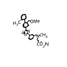 COCc1cc(-c2nc(-c3cccc(CN(C)CCC(=O)O)c3)no2)ccc1-c1ccccc1C